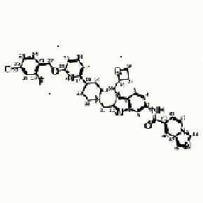 O=C(Nc1ccc2c(c1)nc(CN1CCC(c3cccc(OCc4ccc(Cl)cc4F)n3)CC1)n2C[C@@H]1CCO1)c1ccn2cncc2c1